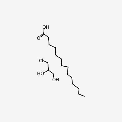 CCCCCCCCCCCCCC(=O)O.OCC(O)CCl